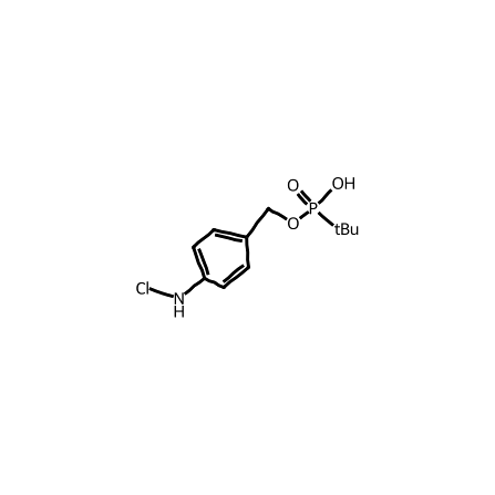 CC(C)(C)P(=O)(O)OCc1ccc(NCl)cc1